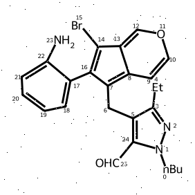 CCCCn1nc(CC)c(Cc2c3ccocc-3c(Br)c2-c2ccccc2N)c1C=O